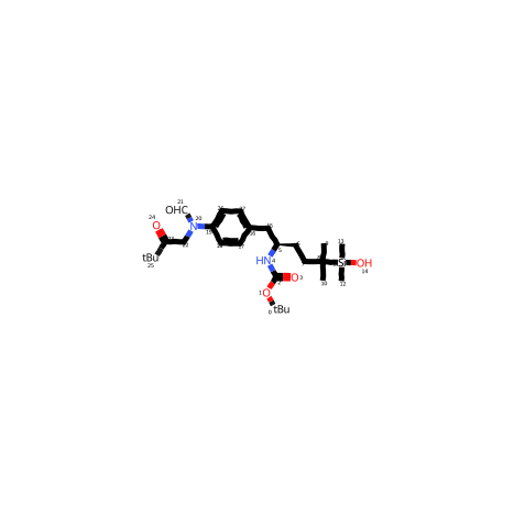 CC(C)(C)OC(=O)N[C@H](CCC(C)(C)[Si](C)(C)O)Cc1ccc(N(C=O)CC(=O)C(C)(C)C)cc1